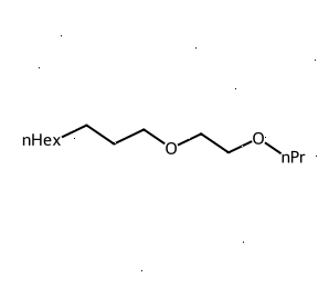 CCCCCCCCCOCCOCCC